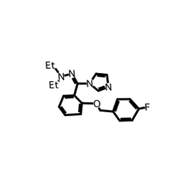 CCN(CC)/N=C(\c1ccccc1OCc1ccc(F)cc1)n1ccnc1